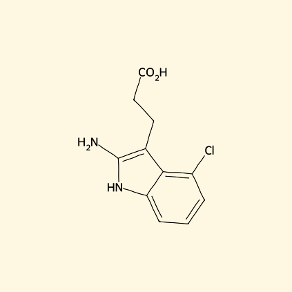 Nc1[nH]c2cccc(Cl)c2c1CCC(=O)O